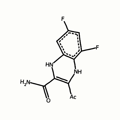 CC(=O)C1=C(C(N)=O)Nc2cc(F)cc(F)c2N1